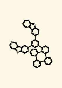 c1ccc2c(c1)-c1ccccc1-c1cccc(-c3cc(-c4ccc5sc6ccncc6c5c4)cc(-c4ccc5sc6ccncc6c5c4)c3)c1-c1ccccc1-2